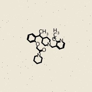 COc1ncccc1CN1CCC(C(C)c2ccccc2OCC(=O)N2CCCCC2)CC1